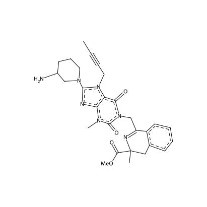 CC#CCn1c(N2CCCC(N)C2)nc2c1c(=O)n(CC1=NC(C)(C(=O)OC)Cc3ccccc31)c(=O)n2C